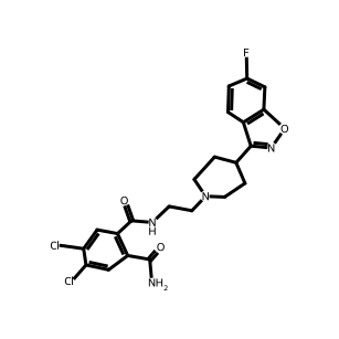 NC(=O)c1cc(Cl)c(Cl)cc1C(=O)NCCN1CCC(c2noc3cc(F)ccc23)CC1